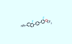 CCCc1ccc2c(F)c(-c3ccc(-c4ccc(OC(F)(F)F)c(F)c4)cc3)ccc2c1